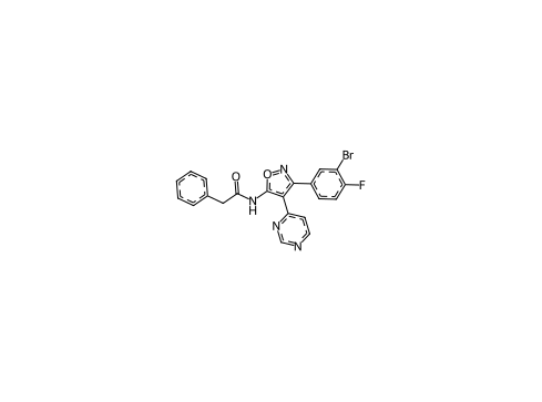 O=C(Cc1ccccc1)Nc1onc(-c2ccc(F)c(Br)c2)c1-c1ccncn1